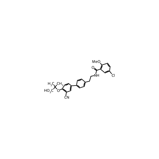 COc1ccc(Cl)cc1C(=O)NCCc1ccc(-c2ccc(OC(C)(C)C(=O)O)c(C#N)c2)cc1